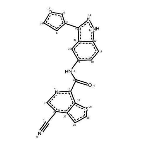 N#Cc1cnc(C(=O)Nc2ccc3[nH]nc(-c4ccoc4)c3c2)c2sccc12